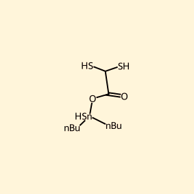 CCC[CH2][SnH]([CH2]CCC)[O]C(=O)C(S)S